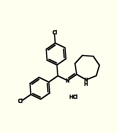 Cl.Clc1ccc(C(N=C2CCCCCN2)c2ccc(Cl)cc2)cc1